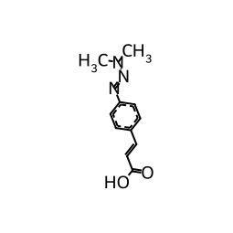 CN(C)N=Nc1ccc(C=CC(=O)O)cc1